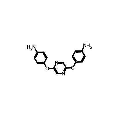 Nc1ccc(Oc2cnc(Oc3ccc(N)cc3)cn2)cc1